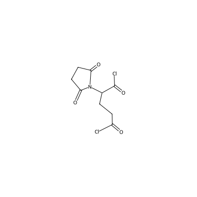 O=C(Cl)CCC(C(=O)Cl)N1C(=O)CCC1=O